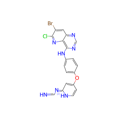 N=C/N=c1/cc(Oc2ccc(Nc3ncnc4cc(Br)c(Cl)nc34)cc2)cc[nH]1